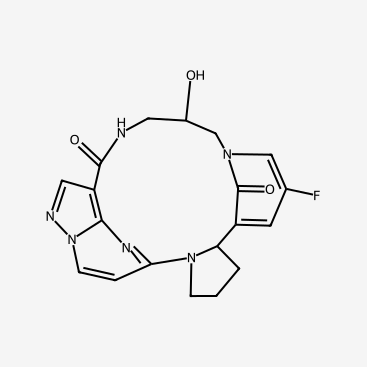 O=C1NCC(O)Cn2cc(F)cc(c2=O)C2CCCN2c2ccn3ncc1c3n2